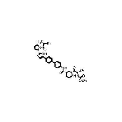 COC(=O)N[C@H](C(=O)N1CCC[C@H](C(=O)Nc2ccc(-c3ccc(-c4cnc([C@@H]5CCCN5C(=O)[C@@H](C)C(C)C)[nH]4)cc3)cc2)C1)C(C)C